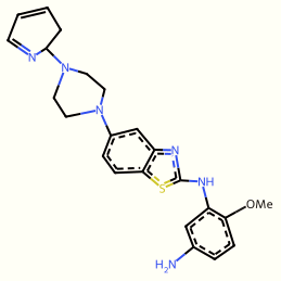 COc1ccc(N)cc1Nc1nc2cc(N3CCN(C4CC=CC=N4)CC3)ccc2s1